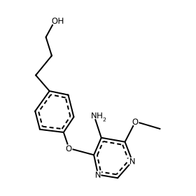 COc1ncnc(Oc2ccc(CCCO)cc2)c1N